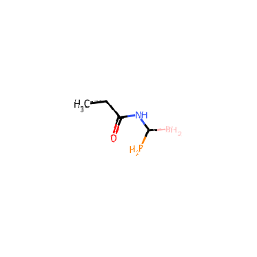 BC(P)NC(=O)CC